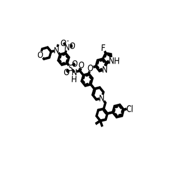 CN(c1ccc(S(=O)(=O)NC(=O)c2ccc(C3=CCN(CC4=C(c5ccc(Cl)cc5)CC(C)(C)CC4)CC3)cc2Oc2cnc3[nH]cc(F)c3c2)cc1[N+](=O)[O-])C1CCOCC1